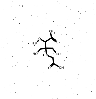 CC(=O)C(OP)C(CO)(CO)NCC(=O)O